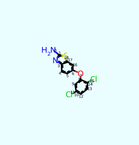 Nc1nc2ccc(Oc3cc(Cl)ccc3Cl)cc2s1